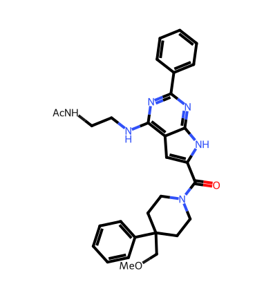 COCC1(c2ccccc2)CCN(C(=O)c2cc3c(NCCNC(C)=O)nc(-c4ccccc4)nc3[nH]2)CC1